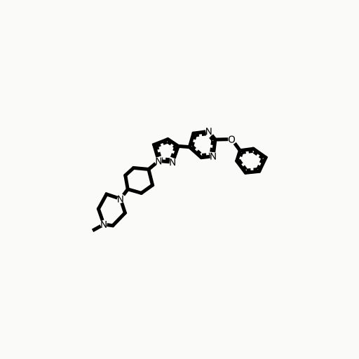 CN1CCN(C2CCC(n3ccc(-c4cnc(Oc5ccccc5)nc4)n3)CC2)CC1